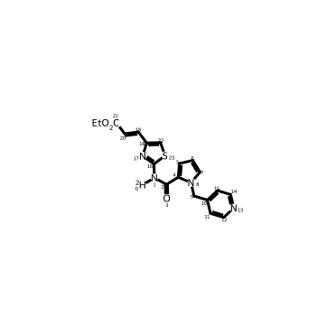 [2H]N(C(=O)c1cccn1Cc1ccncc1)c1nc(/C=C/C(=O)OCC)cs1